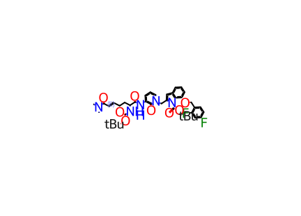 CN(C)C(=O)/C=C/CCC(NC(=O)OC(C)(C)C)C(=O)Nc1cccn(Cc2cc3cccc(OCc4ccc(F)cc4F)c3n2C(=O)OC(C)(C)C)c1=O